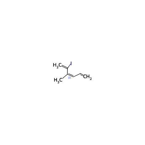 C=C/C=C(/C)C(=C)I